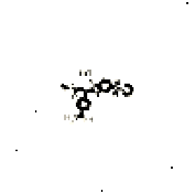 CCOC(=O)CC(c1ccc(C(=N)N)cc1)c1nc2cc(S(=O)(=O)N3CCCC3)ccc2n1C.Cl